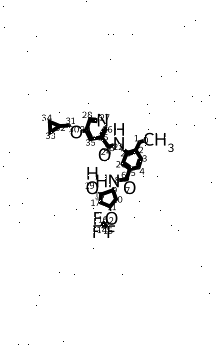 CCc1ccc(C(=O)N[C@H]2C[C@H](OC(F)(F)F)C[C@@H]2O)cc1NC(=O)c1cncc(OCC2CC2)c1